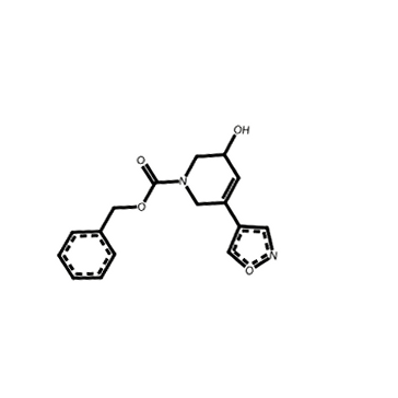 O=C(OCc1ccccc1)N1CC(c2cnoc2)=CC(O)C1